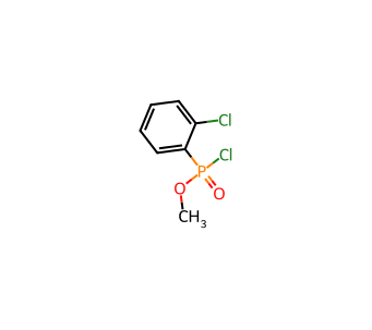 COP(=O)(Cl)c1ccccc1Cl